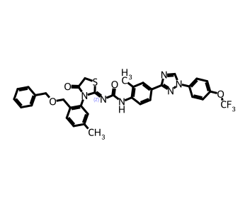 Cc1ccc(COCc2ccccc2)c(N2C(=O)CS/C2=N\C(=O)Nc2ccc(-c3ncn(-c4ccc(OC(F)(F)F)cc4)n3)cc2C)c1